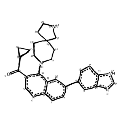 O=C(c1cnc2ccc(-c3ccc4[nH]cnc4c3)cc2c1N1CCC2(CCNC2)CC1)C1CC1